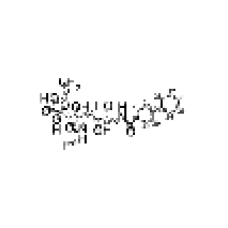 C=CCOC(O)(CC(O)C(C[C@@H](O)[C@H](O)CNC(=O)c1ccc(-c2ccccc2)cc1)NC(=O)CF)C(=O)O